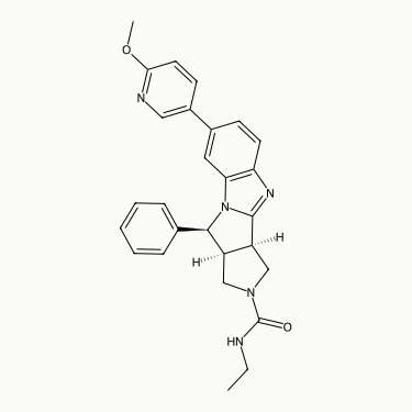 CCNC(=O)N1C[C@@H]2[C@H](C1)c1nc3ccc(-c4ccc(OC)nc4)cc3n1[C@@H]2c1ccccc1